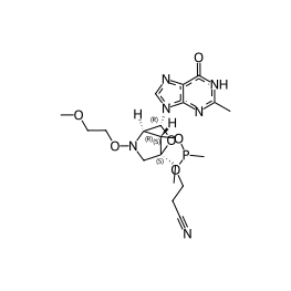 CC[C@@]12CN(OCCOC)[C@@H]([C@H](n3cnc4c(=O)[nH]c(C)nc43)O1)[C@@H]2OP(C)OCCC#N